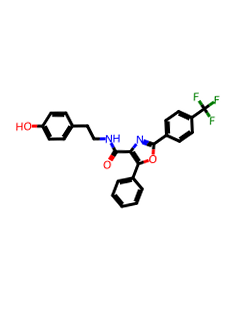 O=C(NCCc1ccc(O)cc1)c1nc(-c2ccc(C(F)(F)F)cc2)oc1-c1ccccc1